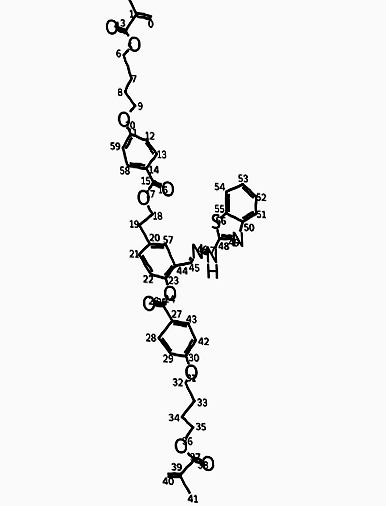 C=C(C)C(=O)OCCCCOc1ccc(C(=O)OCCc2ccc(OC(=O)c3ccc(OCCCCOC(=O)C(=C)C)cc3)c(/C=N/Nc3nc4ccccc4s3)c2)cc1